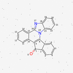 O=C1c2ccccc2-c2c1c1ccccc1c1nc3ccccc3n21